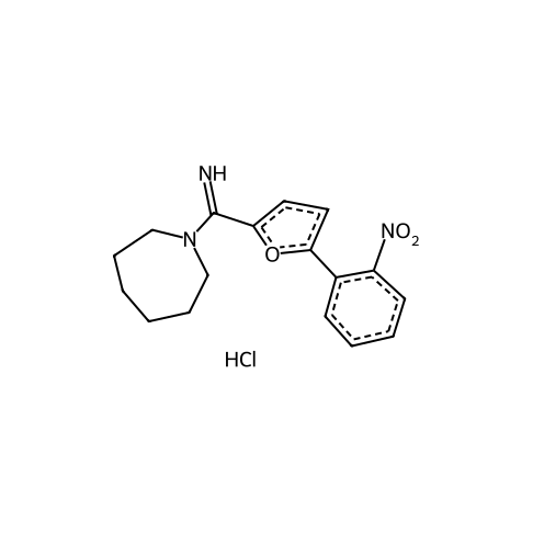 Cl.N=C(c1ccc(-c2ccccc2[N+](=O)[O-])o1)N1CCCCCC1